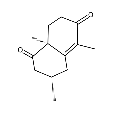 CC1=C2C[C@H](C)CC(=O)[C@@]2(C)CCC1=O